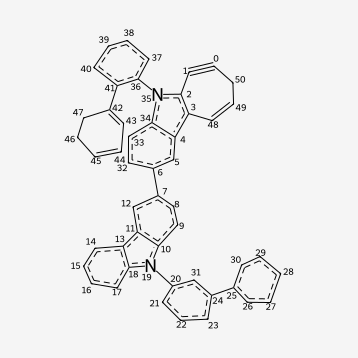 C1#Cc2c(c3cc(-c4ccc5c(c4)c4ccccc4n5-c4cccc(-c5ccccc5)c4)ccc3n2-c2ccccc2C2=CC=CCC2)C=CC1